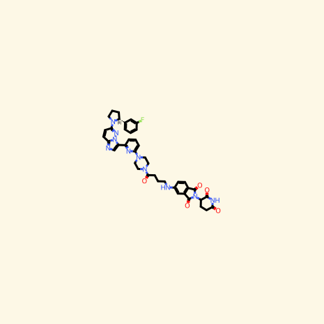 O=C1CCC(N2C(=O)c3ccc(NCCCC(=O)N4CCN(c5cccc(-c6cnc7ccc(N8CCC[C@@H]8c8cccc(F)c8)nn67)n5)CC4)cc3C2=O)C(=O)N1